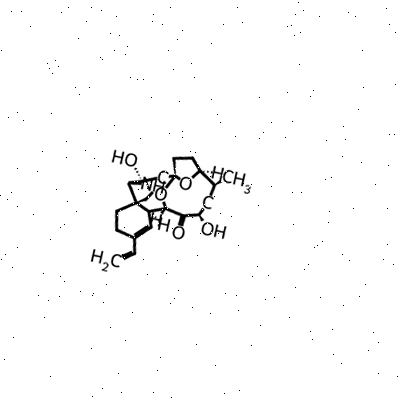 C=CC1=C[C@@H]2[C@@H]3O[C@]4(CC[C@H](O4)[C@@H](C)C[C@@H](O)C3=O)C[C@H](O)C3NCC[C@@]32CC1